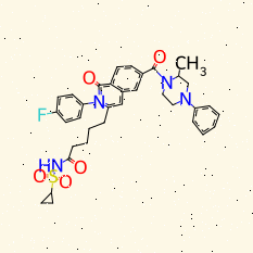 CC1CN(c2ccccc2)CCN1C(=O)c1ccc2c(=O)n(-c3ccc(F)cc3)c(CCCCC(=O)NS(=O)(=O)C3CC3)cc2c1